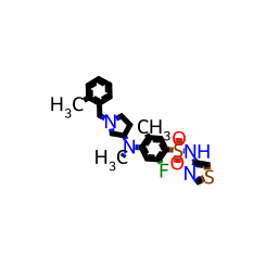 Cc1ccccc1CN1CCC(N(C)c2cc(F)c(S(=O)(=O)Nc3cscn3)cc2C)C1